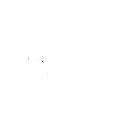 O=C(O)[C@H](O)c1ccc2ccccc2c1